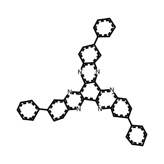 c1ccc(-c2ccc3nc4c5nc6cc(-c7ccccc7)ccc6nc5c5nc6cc(-c7ccccc7)ccc6nc5c4nc3c2)cc1